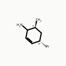 CC(C)[C@@H]1C=CC(N)[C@@H](C)C1